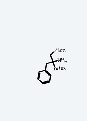 CCCCCCCCCCC(N)(CCCCCC)Cc1ccccc1